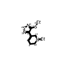 CCSc1nsnc1C1=CCCN(CC)C1